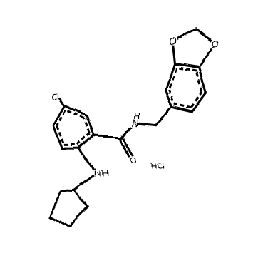 Cl.O=C(NCc1ccc2c(c1)OCO2)c1cc(Cl)ccc1NC1CCCC1